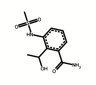 CC(O)c1c(NS(C)(=O)=O)cccc1C(N)=O